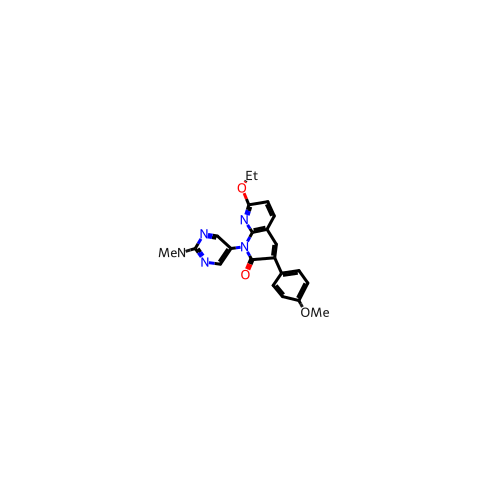 CCOc1ccc2cc(-c3ccc(OC)cc3)c(=O)n(-c3cnc(NC)nc3)c2n1